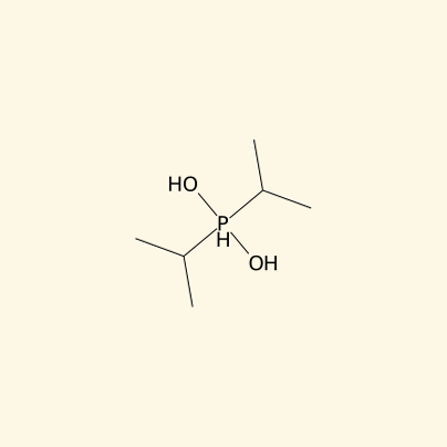 CC(C)[PH](O)(O)C(C)C